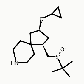 CC(C)(C)[S@@+]([O-])C[C@@H]1C[C@H](OC2CC2)CC12CCNCC2